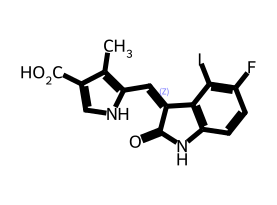 Cc1c(C(=O)O)c[nH]c1/C=C1\C(=O)Nc2ccc(F)c(I)c21